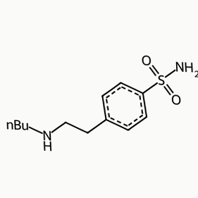 CCCCNCCc1ccc(S(N)(=O)=O)cc1